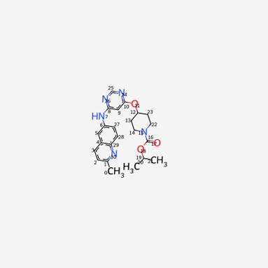 Cc1ccc2cc(Nc3cc(OC4CCN(C(=O)OC(C)C)CC4)ncn3)ccc2n1